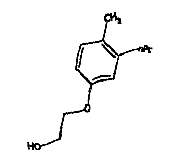 CCCc1cc(OCCO)ccc1C